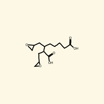 O=C(O)CCCCC(CC1CO1)C(CC1CO1)C(=O)O